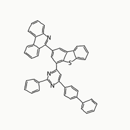 c1ccc(-c2ccc(-c3cc(-c4cc(-c5nc6ccccc6c6ccccc56)cc5c4sc4ccccc45)nc(-c4ccccc4)n3)cc2)cc1